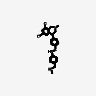 CPCc1ccc(NSc2ccc(C3CN(C)Cc4c(Cl)cc(Cl)cc43)cc2)cc1